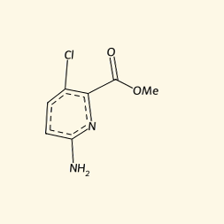 COC(=O)c1nc(N)ccc1Cl